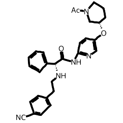 CC(=O)N1CCC[C@H](Oc2ccc(NC(=O)[C@H](NCCc3ccc(C#N)cc3)c3ccccc3)nc2)C1